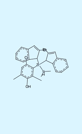 CCC1=Cc2ccccc2[CH]1[Zr]([c]1c(Cl)cc(C)c(O)c1C)([CH]1C(CC)=Cc2ccccc21)[SiH](C)C